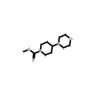 COC(=O)N1CCC(N2CCOCC2)CC1